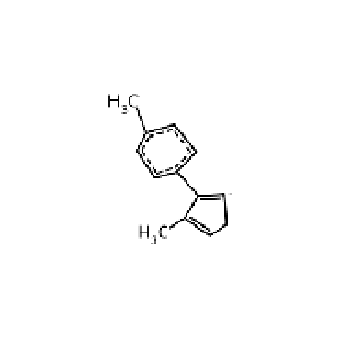 CC1=CC[C]=C1c1ccc(C)cc1